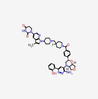 Cc1cn(C2CCN(CC3(F)CCN(C(=O)c4ccc([C@@H]5CN(c6cc(-c7ccccc7O)nnc6N)[C@@H]6COC[C@@H]6O5)cc4)CC3)CC2)c2ncc(N3CCC(=O)NC3=O)cc12